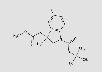 COC(=O)CC1(C)CN(C(=O)OC(C)(C)C)c2ccc(F)cc21